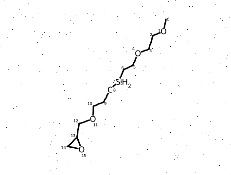 COCCOCC[SiH2]CCCOCC1CO1